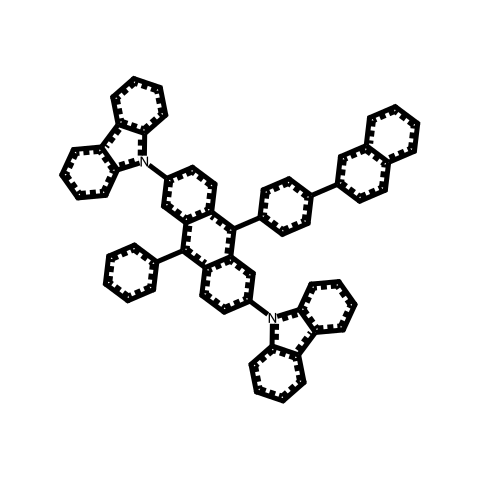 c1ccc(-c2c3ccc(-n4c5ccccc5c5ccccc54)cc3c(-c3ccc(-c4ccc5ccccc5c4)cc3)c3ccc(-n4c5ccccc5c5ccccc54)cc23)cc1